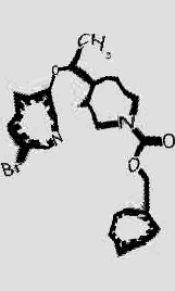 CC(Oc1ccc(Br)nc1)C1CCN(C(=O)OCc2ccccc2)CC1